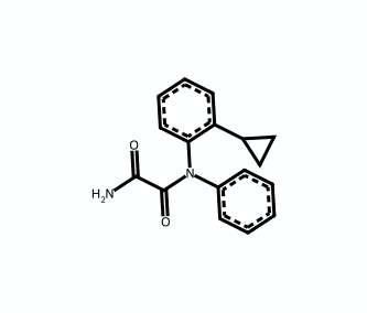 NC(=O)C(=O)N(c1ccccc1)c1ccccc1C1CC1